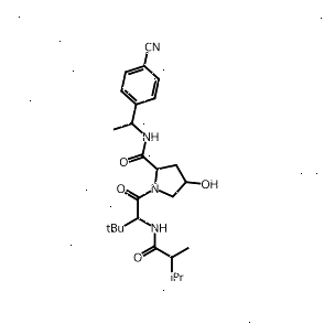 CC(NC(=O)C1CC(O)CN1C(=O)C(NC(=O)C(C)C(C)C)C(C)(C)C)c1ccc(C#N)cc1